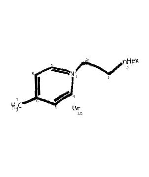 CCCCCCCC[n+]1ccc(C)cc1.[Br-]